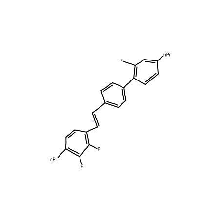 CCCc1ccc(-c2ccc(/C=C/c3ccc(CCC)c(F)c3F)cc2)c(F)c1